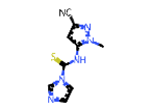 Cn1nc(C#N)cc1NC(=S)n1ccnc1